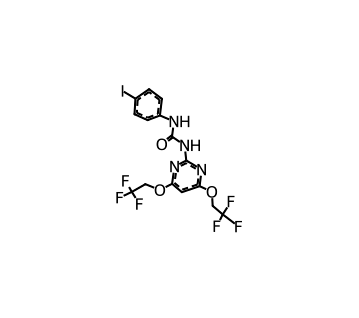 O=C(Nc1ccc(I)cc1)Nc1nc(OCC(F)(F)F)cc(OCC(F)(F)F)n1